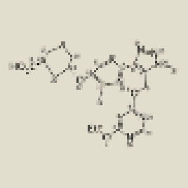 CCOc1cc(OCc2c(-c3ccc(O[C@H]4CCC[C@H](C(=O)O)C4)c(C)n3)nnn2C)ncn1